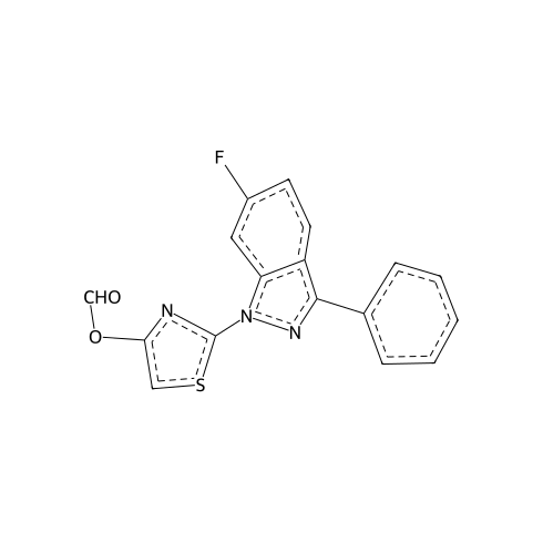 O=COc1csc(-n2nc(-c3ccccc3)c3ccc(F)cc32)n1